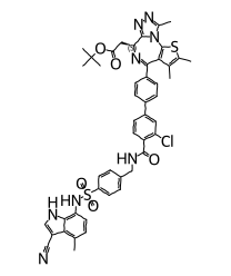 Cc1sc2c(c1C)C(c1ccc(-c3ccc(C(=O)NCc4ccc(S(=O)(=O)Nc5ccc(C)c6c(C#N)c[nH]c56)cc4)c(Cl)c3)cc1)=N[C@@H](CC(=O)OC(C)(C)C)c1nnc(C)n1-2